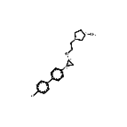 N[C@@H]1CCN(CCN[C@@H]2C[C@H]2c2ccc(-c3ccc(Cl)cc3)cc2)C1